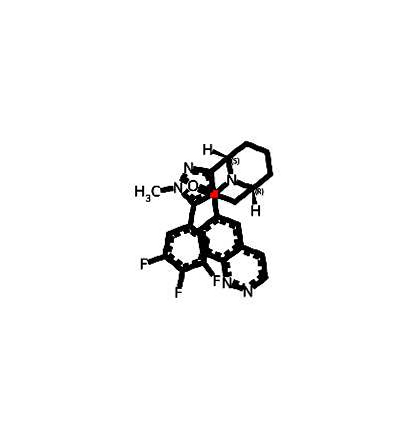 Cn1nc2c(c1-c1cc(F)c(F)c(F)c1)C[C@H]1CCC[C@@H]2N1C(=O)c1ccc2nnccc2c1